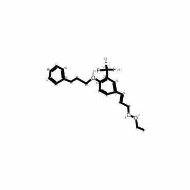 CCOOC/C=C/c1ccc(OCCCc2ccccc2)c(C(F)(F)F)c1